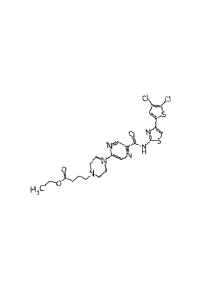 CCOC(=O)CCCN1CCN(c2cnc(C(=O)Nc3nc(-c4cc(Cl)c(Cl)s4)cs3)cn2)CC1